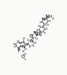 COCCCn1c([C@@H]2CCCN(C(=O)C[C@H](N)Cc3ccc(-c4ccc(N)nc4)cc3)C2)c(C)c2cccc(F)c21